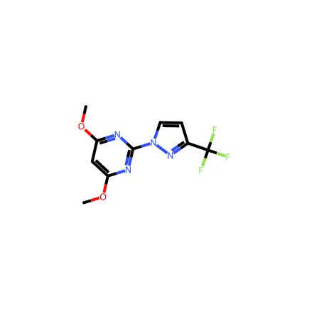 COc1cc(OC)nc(-n2ccc(C(F)(F)F)n2)n1